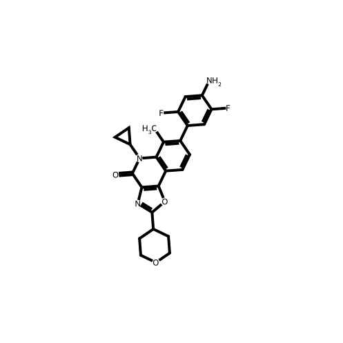 Cc1c(-c2cc(F)c(N)cc2F)ccc2c3oc(C4CCOCC4)nc3c(=O)n(C3CC3)c12